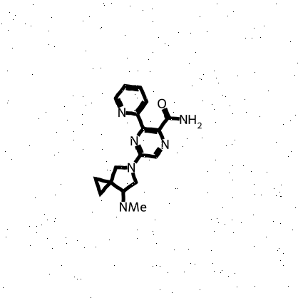 CNC1CN(c2cnc(C(N)=O)c(-c3ccccn3)n2)CC12CC2